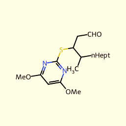 CCCCCCCC(C)C(CC=O)Sc1nc(OC)cc(OC)n1